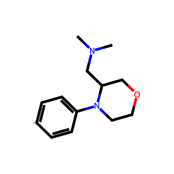 CN(C)CC1COCCN1c1cc[c]cc1